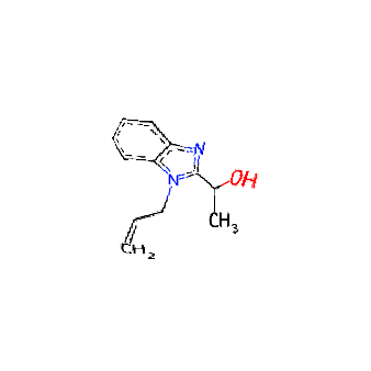 C=CCn1c(C(C)O)nc2ccccc21